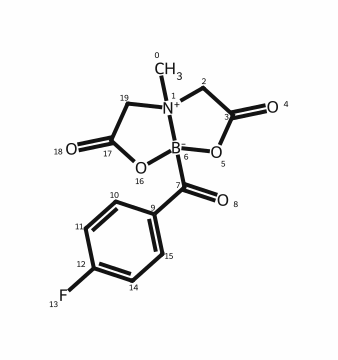 C[N+]12CC(=O)O[B-]1(C(=O)c1ccc(F)cc1)OC(=O)C2